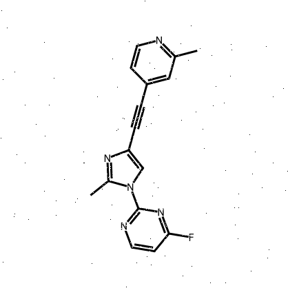 Cc1cc(C#Cc2cn(-c3nccc(F)n3)c(C)n2)ccn1